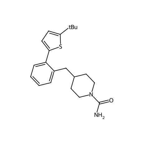 CC(C)(C)c1ccc(-c2ccccc2CC2CCN(C(N)=O)CC2)s1